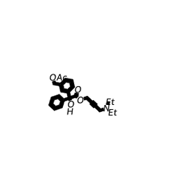 CCN(CC)CC#CCOC(=O)C(O)(c1ccccc1)c1cccc(COC(C)=O)c1